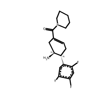 N[C@H]1CC(C(=O)N2CCCCC2)=CC[C@@H]1c1cc(F)c(F)cc1F